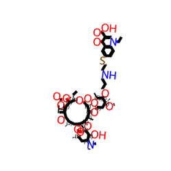 CC[C@@H]1OC(=O)[C@H](C)[C@H](O[C@@H]2C[C@](C)(OC)[C@H](OCCCNCCSc3ccc4c(c3)c(=O)c(C(=O)O)cn4CC)[C@H](C)O2)[C@@H](C)[C@H](O[C@H]2O[C@@H](C)C[C@@H](N(C)C)[C@H]2O)[C@](C)(OC)C[C@H](C)C(=O)C(C)[C@H]2OC(=O)O[C@@]12C